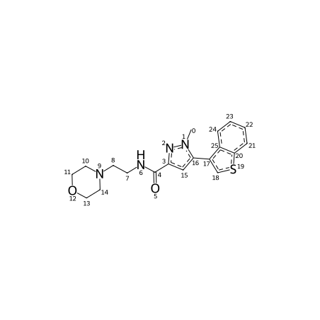 Cn1nc(C(=O)NCCN2CCOCC2)cc1-c1csc2ccccc12